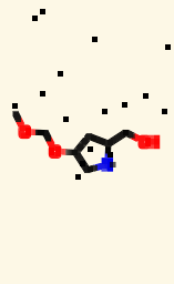 COCOC1C[N]C(CO)C1